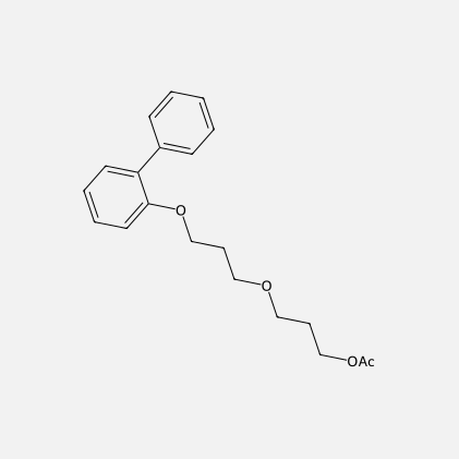 CC(=O)OCCCOCCCOc1ccccc1-c1ccccc1